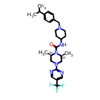 CC(C)c1ccc(CN2CCC(NC(=O)N3[C@H](C)CN(c4ncc(C(F)(F)F)cn4)C[C@@H]3C)CC2)cc1